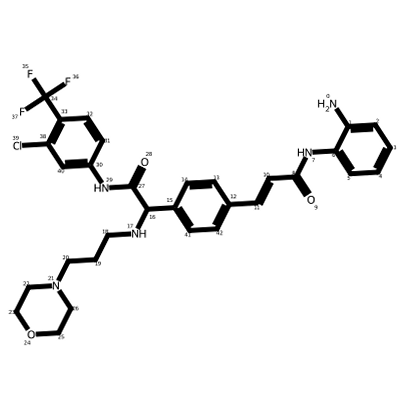 Nc1ccccc1NC(=O)C=Cc1ccc(C(NCCCN2CCOCC2)C(=O)Nc2ccc(C(F)(F)F)c(Cl)c2)cc1